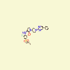 CS(=O)(=O)c1ccc(N[C@H]2CCN(C3CCN(c4ncc(-c5ccccc5)cn4)CC3)C2=O)c(F)c1